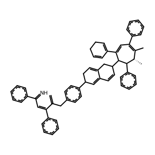 C=C(Cc1ccc(C2C=C3C=CC(C4C(C5=CCCC=C5)=CC(c5ccccc5)=C(C)[C@H](C)C4c4ccccc4)CC3=CC2)cc1)/C(=C\C(=N)c1ccccc1)c1ccccc1